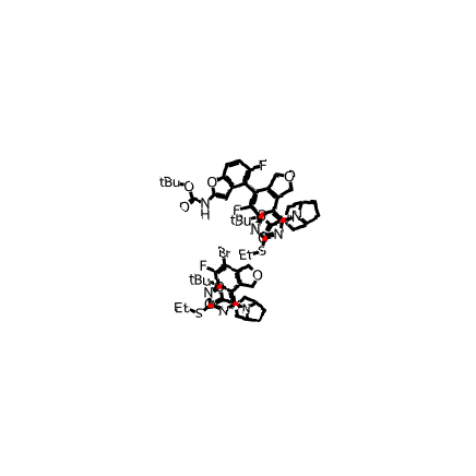 CCSc1nc(N2C3CCC2CN(C(=O)OC(C)(C)C)C3)c2c3c(c(-c4c(F)ccc5oc(NC(=O)OC(C)(C)C)cc45)c(F)c2n1)COC3.CCSc1nc(N2C3CCC2CN(C(=O)OC(C)(C)C)C3)c2c3c(c(Br)c(F)c2n1)COC3